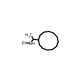 CCNC(C)C1[CH]CCCCCCCCCC1